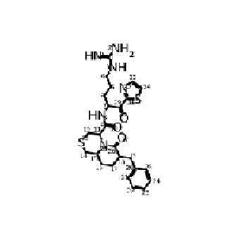 N=C(N)NCCCC(NC(=O)C1CSCC2CCC(Cc3ccccc3)C(=O)N21)C(=O)c1nccs1